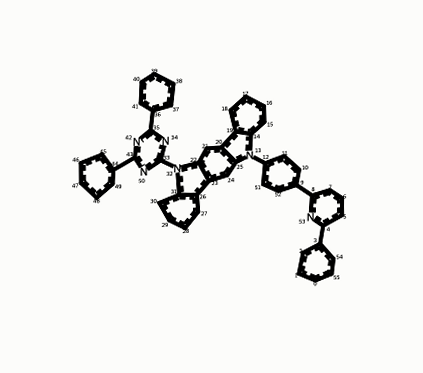 c1ccc(-c2cccc(-c3ccc(-n4c5ccccc5c5cc6c(cc54)c4ccccc4n6-c4nc(-c5ccccc5)nc(-c5ccccc5)n4)cc3)n2)cc1